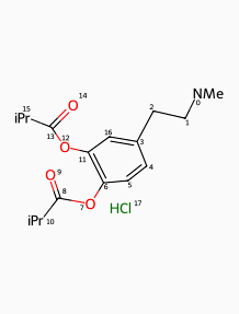 CNCCc1ccc(OC(=O)C(C)C)c(OC(=O)C(C)C)c1.Cl